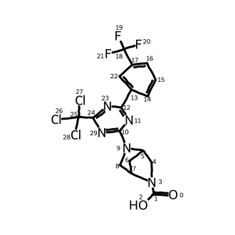 O=C(O)N1CC2CC1CN2c1nc(-c2cccc(C(F)(F)F)c2)nc(C(Cl)(Cl)Cl)n1